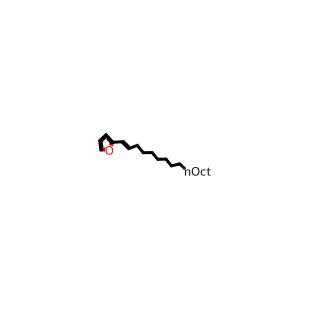 CCCCCCCCCCCCCCCC=Cc1ccco1